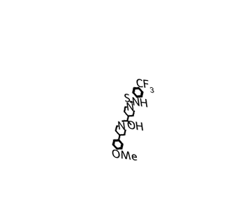 COc1ccc(C2CCN(CC(O)C3CCN(C(=S)Nc4ccc(C(F)(F)F)cc4)CC3)CC2)cc1